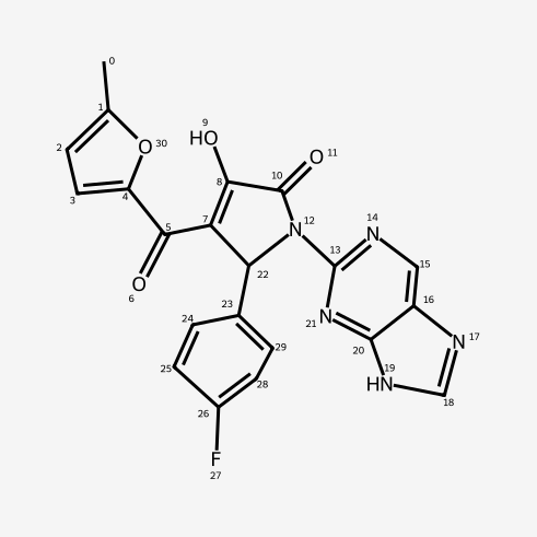 Cc1ccc(C(=O)C2=C(O)C(=O)N(c3ncc4nc[nH]c4n3)C2c2ccc(F)cc2)o1